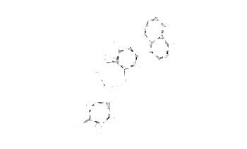 O=c1ncc(CN2CCOc3c(Cl)cc(-c4cccc5ccccc45)cc3C2)c[nH]1